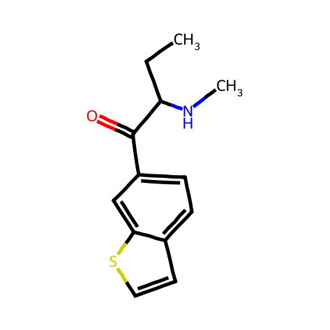 CCC(NC)C(=O)c1ccc2ccsc2c1